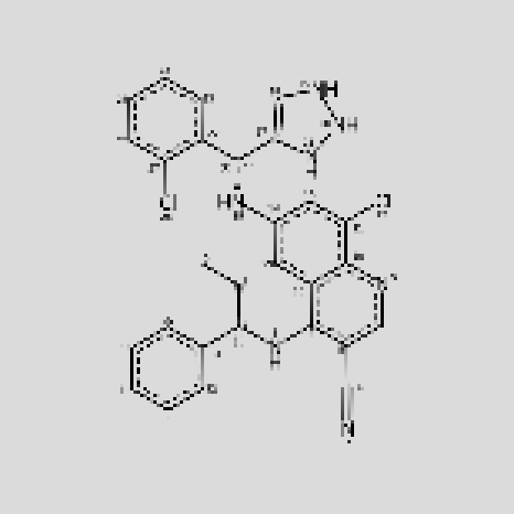 CC[C@@H](Nc1c(C#N)cnc2c(Cl)cc(N[C@@H](C3=CNNN3)c3ccccc3Cl)cc12)c1ccccc1